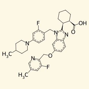 Cc1cnc(COc2ccc3nc([C@H]4CCCC[C@H]4C(=O)O)n(Cc4ccc(N5CCC(C)CC5)cc4F)c3c2)c(F)c1